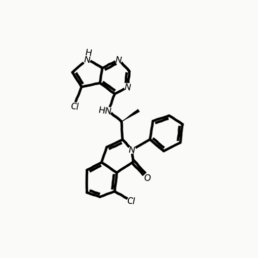 C[C@H](Nc1ncnc2[nH]cc(Cl)c12)c1cc2cccc(Cl)c2c(=O)n1-c1ccccc1